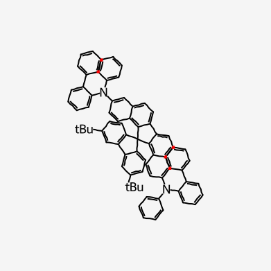 CC(C)(C)c1ccc2c(c1)-c1cc(C(C)(C)C)ccc1C21c2c(ccc3cc(N(c4ccccc4)c4ccccc4-c4ccccc4)ccc23)-c2ccc3cc(N(c4ccccc4)c4ccccc4-c4ccccc4)ccc3c21